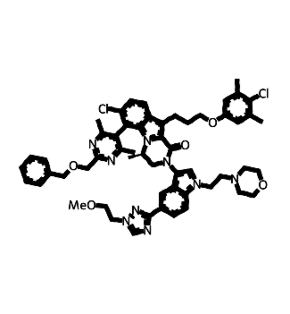 COCCn1cnc(-c2ccc3c(c2)c(N2C[C@@H](C)n4c(c(CCCOc5cc(C)c(Cl)c(C)c5)c5ccc(Cl)c(-c6c(C)nc(COCc7ccccc7)nc6C)c54)C2=O)cn3CCN2CCOCC2)n1